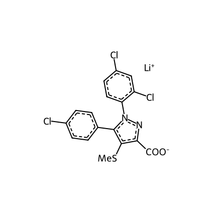 CSc1c(C(=O)[O-])nn(-c2ccc(Cl)cc2Cl)c1-c1ccc(Cl)cc1.[Li+]